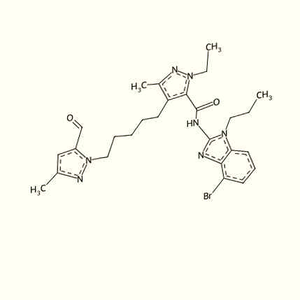 CCCn1c(NC(=O)c2c(CCCCCn3nc(C)cc3C=O)c(C)nn2CC)nc2c(Br)cccc21